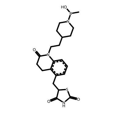 CB(O)N1CCC(CCN2C(=O)CCc3c(CC4SC(=O)NC4=O)cccc32)CC1